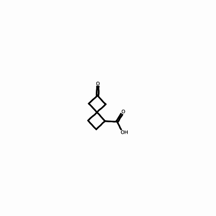 O=C1CC2(CCC2C(=O)O)C1